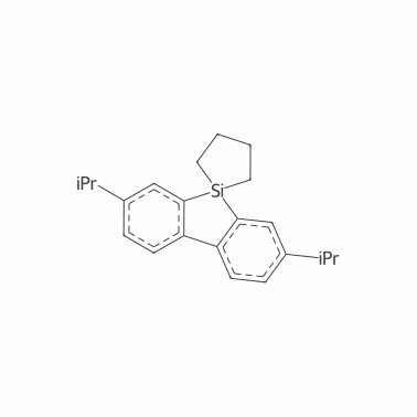 CC(C)c1ccc2c(c1)[Si]1(CCCC1)c1cc(C(C)C)ccc1-2